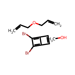 Brc1c2ccc-2c1Br.C=CCOCC=C.CO